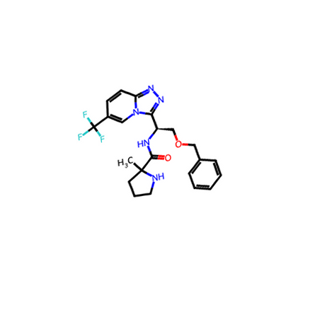 CC1(C(=O)N[C@H](COCc2ccccc2)c2nnc3ccc(C(F)(F)F)cn23)CCCN1